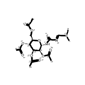 CC(=O)OC[C@H]1O[C@H](NC(=S)N=CN(C)C)[C@@H](OC(C)=O)[C@@H](OC(C)=O)[C@@H]1OC(C)=O